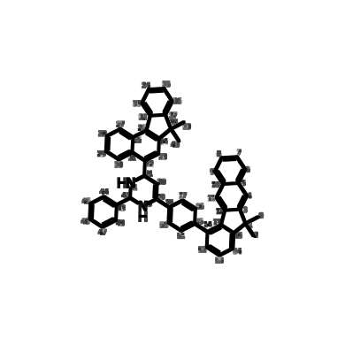 CC1(C)c2cc3ccccc3cc2-c2c(-c3ccc(C4=CC(c5cc6c(c7ccccc57)-c5ccccc5C6(C)C)NC(c5ccccc5)N4)cc3)cccc21